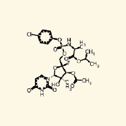 CC(=O)O[C@@H]1C(F)(COP(=O)(NC(C)C(=O)OC(C)C)Oc2ccc(Cl)cc2)O[C@@H](n2ccc(=O)[nH]c2=O)[C@]1(C)O